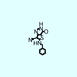 N#Cc1c(NCc2ccccc2)sc2c(=O)[nH]cnc12